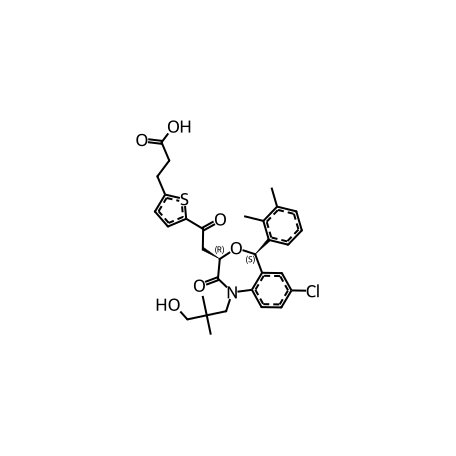 Cc1cccc([C@@H]2O[C@H](CC(=O)c3ccc(CCC(=O)O)s3)C(=O)N(CC(C)(C)CO)c3ccc(Cl)cc32)c1C